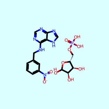 O=P(O)(O)OC[C@H]1OC(O)[C@H](O)[C@@H]1O.O=[N+]([O-])c1cccc(CNc2ncnc3nc[nH]c23)c1